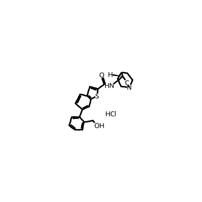 Cl.O=C(N[C@H]1CN2CCC1CC2)c1cc2ccc(-c3ccccc3CO)cc2s1